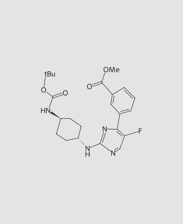 COC(=O)c1cccc(-c2nc(N[C@H]3CC[C@H](NC(=O)OC(C)(C)C)CC3)ncc2F)c1